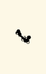 COc1ccccc1N1CCN(CCCNC(=O)Cc2cccc3c(=O)c(C)c(-c4ccccc4)oc23)CC1